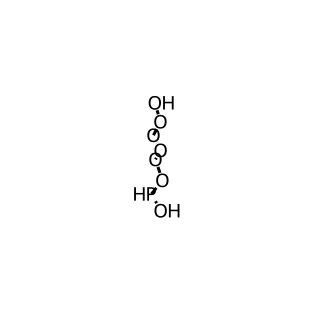 OOOOOOPO